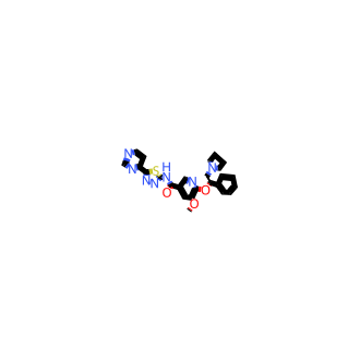 COc1cc(C(=O)Nc2nnc(-c3ccncn3)s2)cnc1O[C@@H](CN1CCCC1)c1ccccc1